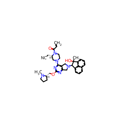 C=CC(=O)N1CCN(c2nc(OC[C@@H]3CCCN3C)nc3c2CN(C2c4cccc5cccc(c45)C2(C)O)C3)C[C@@H]1CC#N